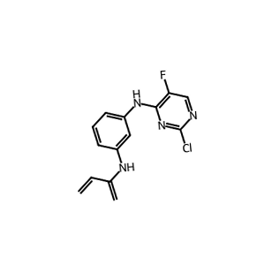 C=CC(=C)Nc1cccc(Nc2nc(Cl)ncc2F)c1